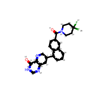 O=C(c1ccc2c(-c3cnc4c(=O)[nH]cnc4c3)cccc2c1)N1CCC(F)(F)CC1